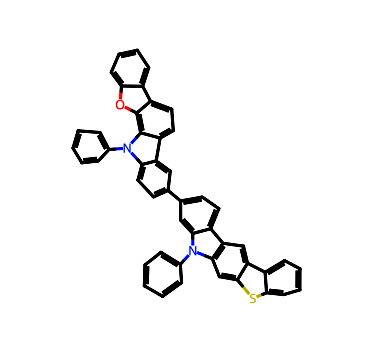 c1ccc(-n2c3cc(-c4ccc5c(c4)c4ccc6c7ccccc7oc6c4n5-c4ccccc4)ccc3c3cc4c(cc32)sc2ccccc24)cc1